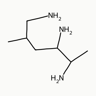 CC(CN)CC(N)C(C)N